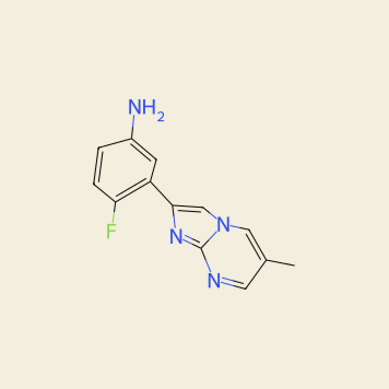 Cc1cnc2nc(-c3cc(N)ccc3F)cn2c1